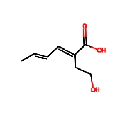 C/C=C/C=C(\CCO)C(=O)O